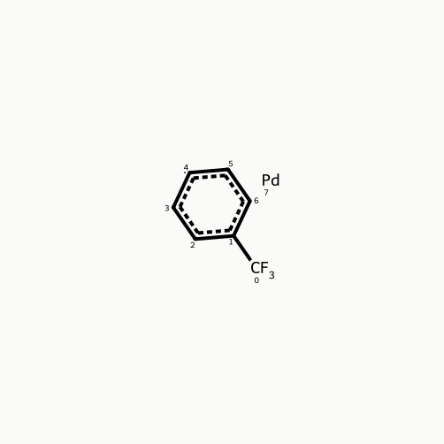 FC(F)(F)c1cc[c]cc1.[Pd]